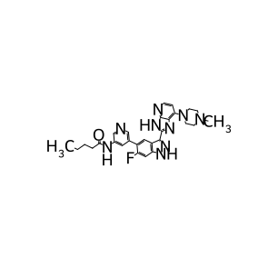 CCCCC(=O)Nc1cncc(-c2cc3c(-c4nc5c(N6CCN(C)CC6)ccnc5[nH]4)n[nH]c3cc2F)c1